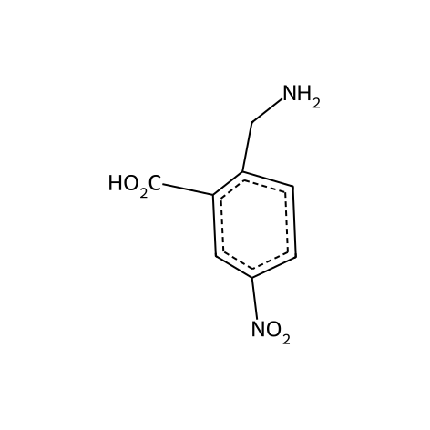 NCc1ccc([N+](=O)[O-])cc1C(=O)O